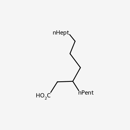 CCCCCCCCCCC(CCCCC)CC(=O)O